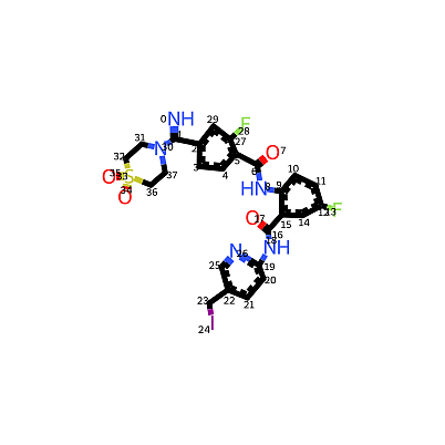 N=C(c1ccc(C(=O)Nc2ccc(F)cc2C(=O)Nc2ccc(CI)cn2)c(F)c1)N1CCS(=O)(=O)CC1